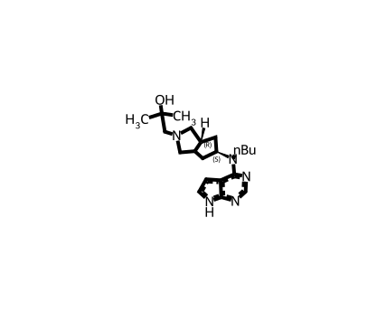 CCCCN(c1ncnc2[nH]ccc12)[C@H]1CC2CN(CC(C)(C)O)C[C@@H]2C1